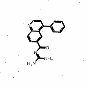 NC(N)=NC(=O)c1ccc2nccc(-c3ccccc3)c2c1